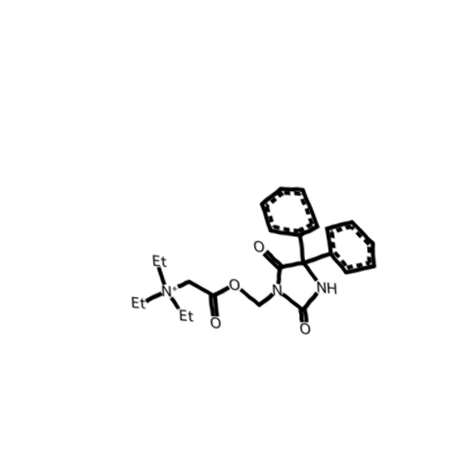 CC[N+](CC)(CC)CC(=O)OCN1C(=O)NC(c2ccccc2)(c2ccccc2)C1=O